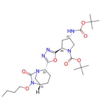 CCCCON1C(=O)N2C[C@@H]1CC[C@H]2c1nnc([C@H]2C[C@H](NC(=O)OC(C)(C)C)CN2C(=O)OC(C)(C)C)o1